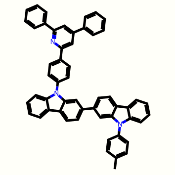 Cc1ccc(-n2c3ccccc3c3ccc(-c4ccc5c6ccccc6n(-c6ccc(-c7cc(-c8ccccc8)cc(-c8ccccc8)n7)cc6)c5c4)cc32)cc1